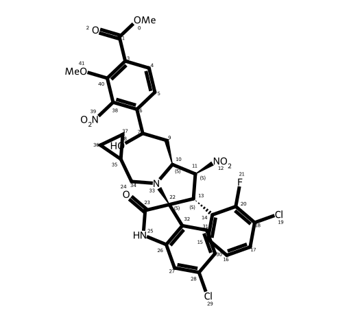 COC(=O)c1ccc(C(O)C[C@H]2[C@@H]([N+](=O)[O-])[C@H](c3cccc(Cl)c3F)[C@]3(C(=O)Nc4cc(Cl)ccc43)N2CC2CC2)c([N+](=O)[O-])c1OC